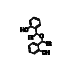 CCC(OC(CC)c1ccccc1O)c1ccccc1O